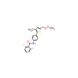 COOCc1cc(C)c(-c2ccc(NC(=O)c3c(F)cccc3F)cc2)s1